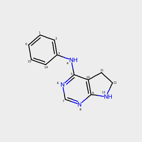 c1ccc(Nc2ncnc3c2CCN3)cc1